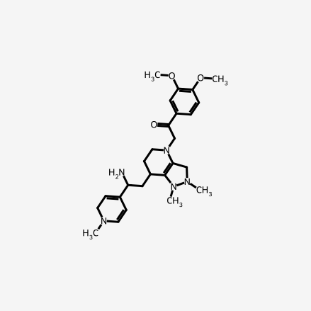 COc1ccc(C(=O)CN2CCC(CC(N)C3=CCN(C)C=C3)C3=C2CN(C)N3C)cc1OC